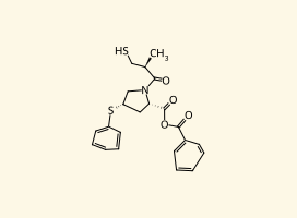 C[C@H](CS)C(=O)N1C[C@@H](Sc2ccccc2)C[C@H]1C(=O)OC(=O)c1ccccc1